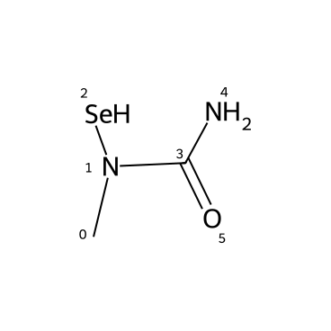 CN([SeH])C(N)=O